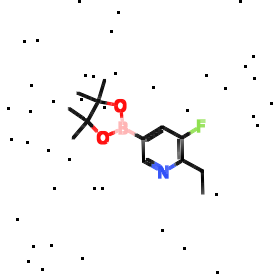 CCc1ncc(B2OC(C)(C)C(C)(C)O2)cc1F